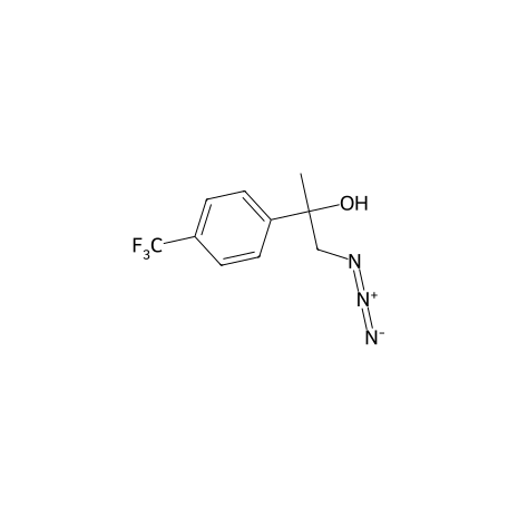 CC(O)(CN=[N+]=[N-])c1ccc(C(F)(F)F)cc1